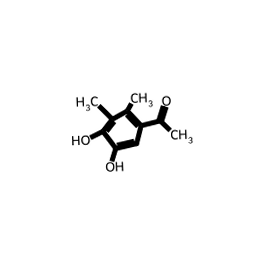 CC(=O)c1cc(O)c(O)c(C)c1C